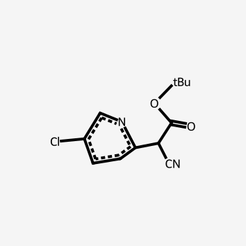 CC(C)(C)OC(=O)C(C#N)c1ccc(Cl)cn1